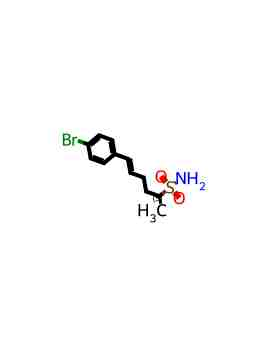 C[C@@H](CCC=Cc1ccc(Br)cc1)S(N)(=O)=O